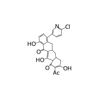 CC(=O)C1=C(O)CC2CC3Cc4c(-c5ccc(Cl)nc5)ccc(O)c4C(=O)C3=C(O)C2C1=O